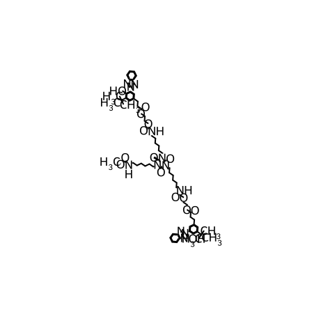 COC(=O)NCCCCCCn1c(=O)n(CCCCCCNC(=O)OCCOC(=O)CCc2cc(-n3nc4ccccc4n3)c(O)c(C(C)(C)C)c2)c(=O)n(CCCCCCNC(=O)OCCOC(=O)CCc2cc(-n3nc4ccccc4n3)c(O)c(C(C)(C)C)c2)c1=O